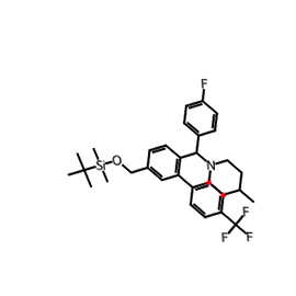 CC1CCN(C(c2ccc(F)cc2)c2ccc(CO[Si](C)(C)C(C)(C)C)cc2-c2ccc(C(F)(F)F)cc2)CC1